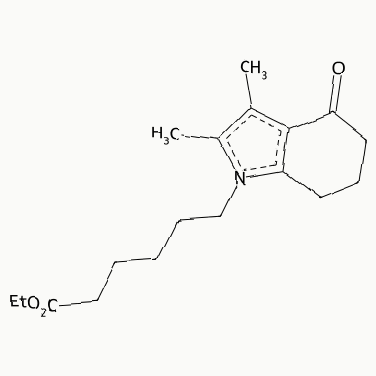 CCOC(=O)CCCCCn1c(C)c(C)c2c1CCCC2=O